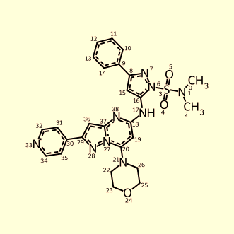 CN(C)S(=O)(=O)n1nc(-c2ccccc2)cc1Nc1cc(N2CCOCC2)n2nc(-c3ccncc3)cc2n1